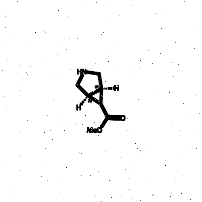 COC(=O)C1[C@H]2CNC[C@@H]12